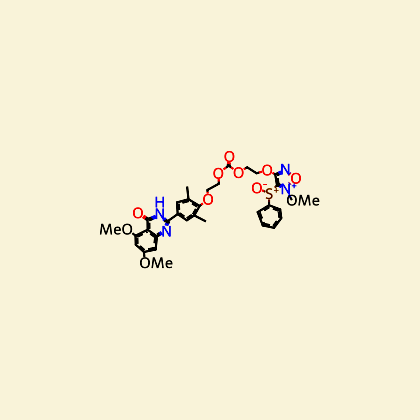 COc1cc(OC)c2c(=O)[nH]c(-c3cc(C)c(OCCOC(=O)OCCOc4no[n+](OC)c4[S+]([O-])c4ccccc4)c(C)c3)nc2c1